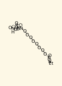 CCN1CCN(C(=O)CCOCCOCCOCCOCCOCCOCCOCCOCCNc2cccc3c2C(=O)N(C2CCC(=O)NC2=O)C3=O)CC1